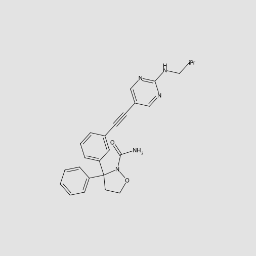 CC(C)CNc1ncc(C#Cc2cccc(C3(c4ccccc4)CCON3C(N)=O)c2)cn1